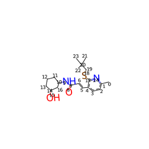 Cc1ccc(/C=C/C(=O)NC2CCCC(O)C2)c(SCC(C)(C)C)n1